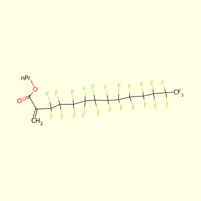 C=C(C(=O)OCCC)C(F)(F)C(F)(F)C(F)(F)C(F)(F)C(F)(F)C(F)(F)C(F)(F)C(F)(F)C(F)(F)C(F)(F)C(F)(F)C(F)(F)F